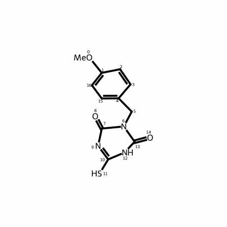 COc1ccc(Cn2c(=O)nc(S)[nH]c2=O)cc1